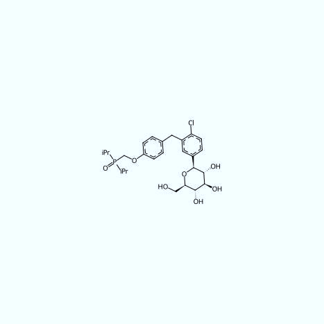 CC(C)P(=O)(COc1ccc(Cc2cc([C@@H]3O[C@H](CO)[C@@H](O)[C@H](O)[C@H]3O)ccc2Cl)cc1)C(C)C